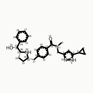 CN(Cc1cc(C2CC2)[nH]n1)C(=O)c1ccc(C[C@@H]2CC[C@H]([C@H](O)c3ccccc3)N2)cc1